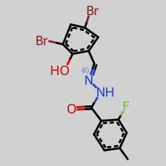 Cc1ccc(C(=O)N/N=C/c2cc(Br)cc(Br)c2O)c(F)c1